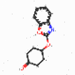 O=C1CCC(Oc2nc3ccccc3o2)CC1